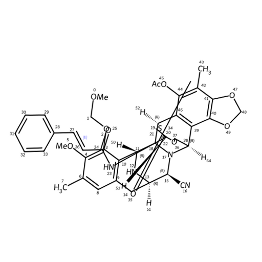 COCOc1c(OC)c(C)cc2c1[C@H]1N[C@H](C2)[C@H](C#N)N2C1[C@@H]1SC[C@H](NC(=O)/C=C/c3ccccc3)C(=O)OC[C@H]2c2c3c(c(C)c(OC(C)=O)c21)OCO3